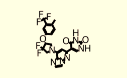 Cc1ccc(O[C@H]2CN(c3cc(-c4c[nH]c(=O)[nH]c4=O)nn4ccnc34)CC2(F)F)cc1C(F)(F)F